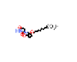 O=C(O)CCCCCCCCCOc1cccc2c1CN(C1CCC(=O)NC1=O)C2=O